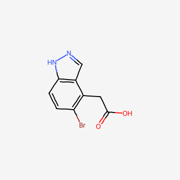 O=C(O)Cc1c(Br)ccc2[nH]ncc12